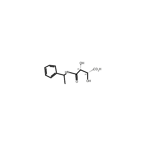 CC(NC(=O)[C@H](O)[C@@H](O)C(=O)O)c1ccccc1